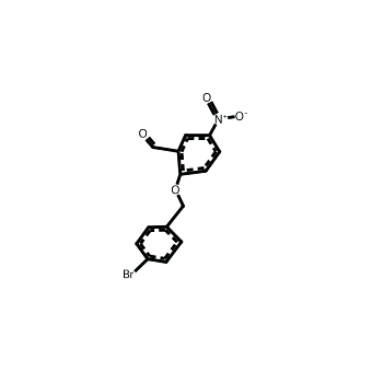 O=Cc1cc([N+](=O)[O-])ccc1OCc1ccc(Br)cc1